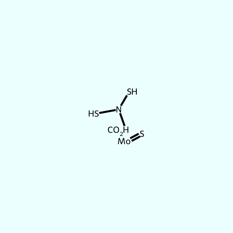 O=C(O)N(S)S.[S]=[Mo]